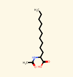 CCCCCCCCCCC(NC(C)=O)C(=O)O